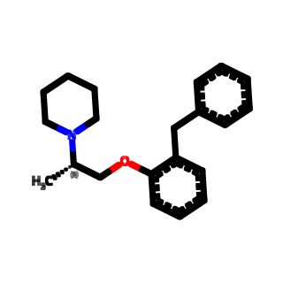 C[C@@H](COc1ccccc1Cc1ccccc1)N1CCCCC1